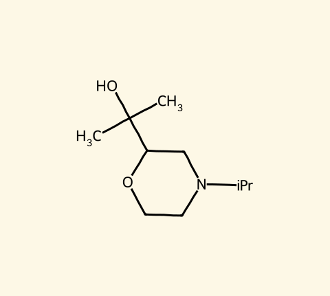 CC(C)N1CCOC(C(C)(C)O)C1